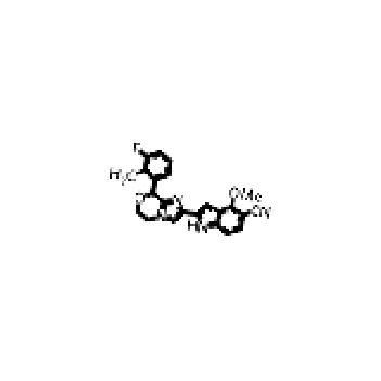 COc1c(C#N)ccc2[nH]c(-c3cn4c(n3)C(c3cccc(F)c3C)OCC4)cc12